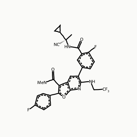 CNC(=O)c1c(-c2ccc(F)cc2)oc2nc(NCC(F)(F)F)c(-c3ccc(F)c(C(=O)N[C@@](C)(C#N)C4CC4)c3)cc12